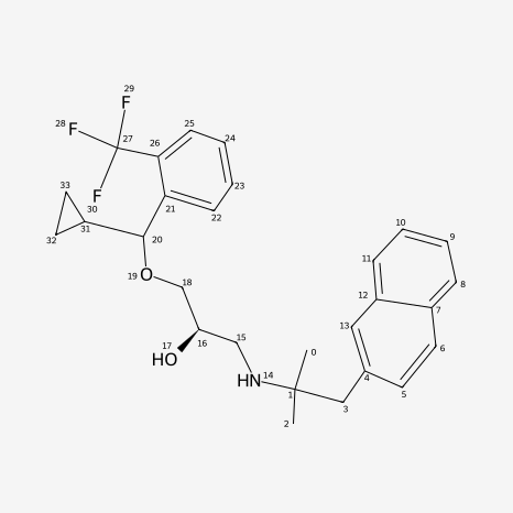 CC(C)(Cc1ccc2ccccc2c1)NC[C@@H](O)COC(c1ccccc1C(F)(F)F)C1CC1